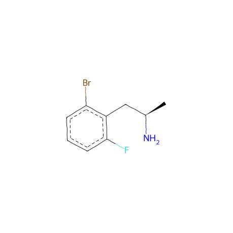 C[C@@H](N)Cc1c(F)cccc1Br